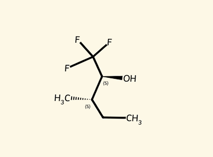 CC[C@H](C)[C@H](O)C(F)(F)F